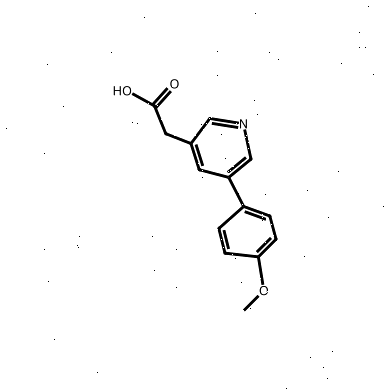 COc1ccc(-c2cncc(CC(=O)O)c2)cc1